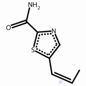 C/C=C\c1cnc(C(N)=O)s1